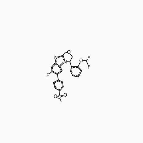 CS(=O)(=O)c1ccc(-c2cc3c(cc2F)nc2n3C(c3ccccc3OC(F)F)COC2)cc1